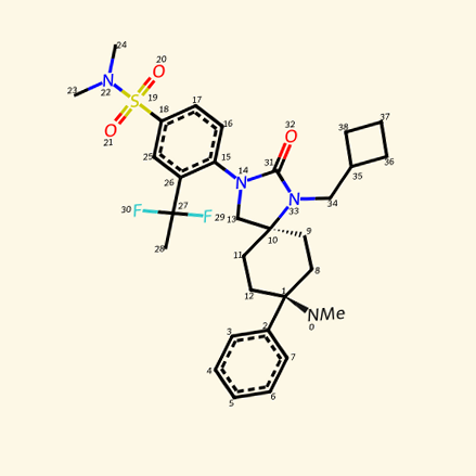 CN[C@]1(c2ccccc2)CC[C@]2(CC1)CN(c1ccc(S(=O)(=O)N(C)C)cc1C(C)(F)F)C(=O)N2CC1CCC1